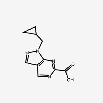 O=C(O)c1ncc2cnn(CC3CC3)c2n1